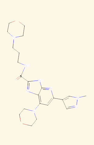 Cn1cc(-c2cc(N3CCOCC3)c3nc(C(=O)NCCCN4CCOCC4)[nH]c3n2)cn1